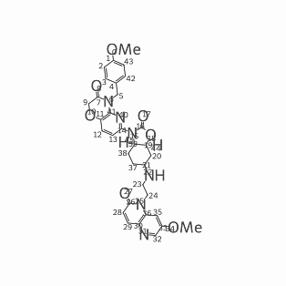 COc1ccc(CN2C(=O)COc3ccc(N4C(=O)O[C@H]5C[C@@H](NCCn6c(=O)ccc7ncc(OC)cc76)CC[C@@H]54)nc32)cc1